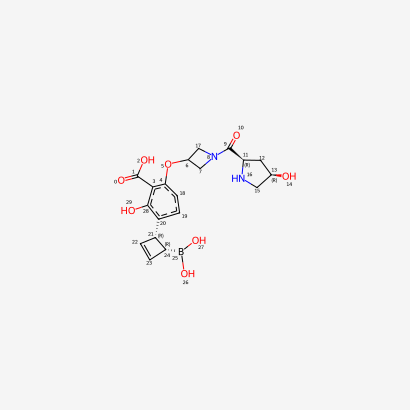 O=C(O)c1c(OC2CN(C(=O)[C@H]3C[C@@H](O)CN3)C2)ccc([C@H]2C=C[C@H]2B(O)O)c1O